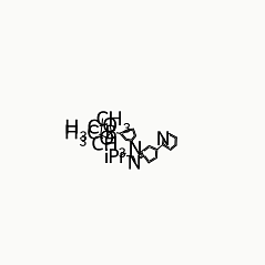 CC(C)c1nc2ccc(-c3ccccn3)cc2n1-c1cccc(B2OC(C)(C)C(C)(C)O2)c1